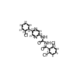 O=C(NC(=O)c1c(Cl)cccc1Cl)Nc1cnc(-c2ccccc2Cl)cn1